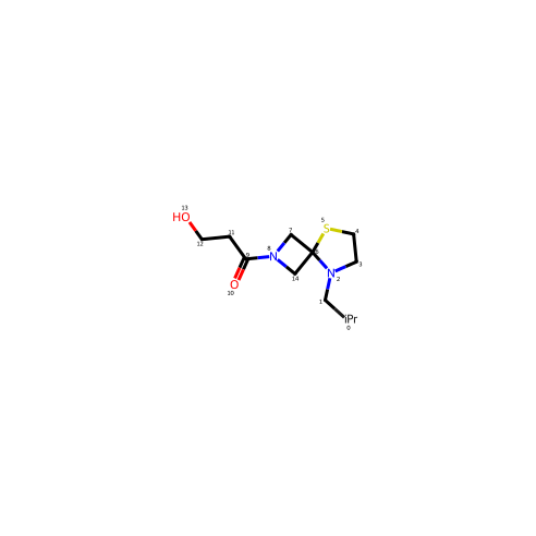 CC(C)CN1CCSC12CN(C(=O)CCO)C2